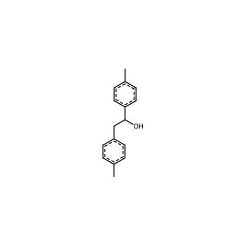 Cc1ccc(CC(O)c2ccc(C)cc2)cc1